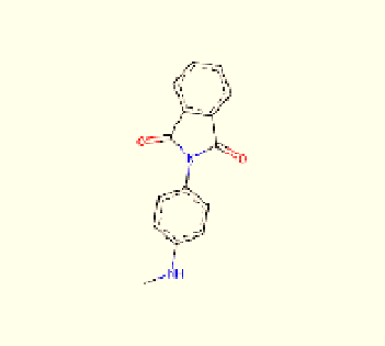 CNc1ccc(N2C(=O)c3ccccc3C2=O)cc1